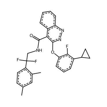 Cc1ccc(C(F)(F)CNC(=O)c2c(Oc3cccc(C4CC4)c3F)nnc3ccccc23)c(C)c1